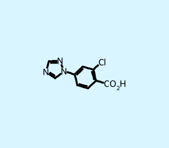 O=C(O)c1ccc(-n2cncn2)cc1Cl